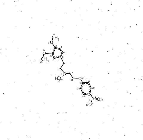 COc1ccc(CCN(C)CCOc2ccc([N+](=O)[O-])cc2)cc1OC